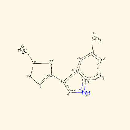 Cc1ccc2[nH]cc(C3=CCC(C)C3)c2c1